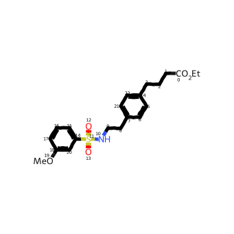 CCOC(=O)CCCc1ccc(CCNS(=O)(=O)c2cccc(OC)c2)cc1